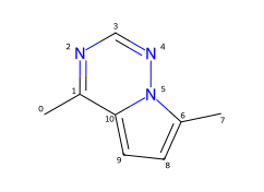 Cc1ncnn2c(C)ccc12